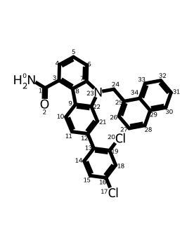 NC(=O)c1cccc2c1c1[c]cc(-c3ccc(Cl)cc3Cl)cc1n2Cc1cccc2ccccc12